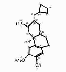 COc1cc2c(cc1O)CCN1C[C@@H](CC3CCC3)N(C)C[C@H]21